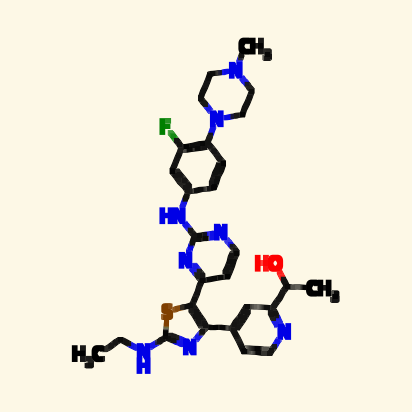 CCNc1nc(-c2ccnc(C(C)O)c2)c(-c2ccnc(Nc3ccc(N4CCN(C)CC4)c(F)c3)n2)s1